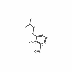 CC(C)COc1cccc(C=O)c1O